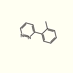 Cc1ccccc1-c1cccnn1